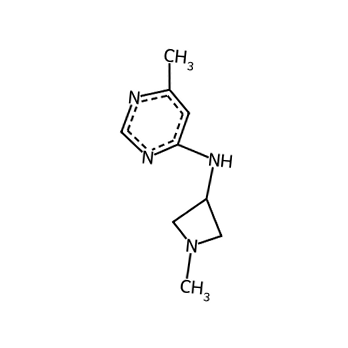 Cc1cc(NC2CN(C)C2)ncn1